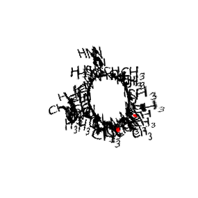 C/C=C/C[C@@H](C)[C@@H](O)[C@@H]1C(=O)N[C@@H](CC)C(=O)N(C)CC(=O)N(C)[C@H](CC(C)C)C(=O)N[C@@H](C(C)C)C(=O)N(C)[C@H](CC(C)C)C(=O)N[C@H](C)C(=O)N[C@H](C)C(=O)N(C)[C@H](CC(C)C)C(=O)N(C)[C@H](CC(C)C)C(=O)N(C)[C@H](C(C)C)C(=O)N1C.O=P1(N(CCCl)CCCl)NCCCO1.c1ncc2[nH]cnc2n1